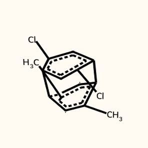 Cc1[c]c2c(C)[c]c1-c1cc(Cl)c-2cc1Cl